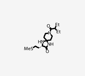 CCC(CC)C(=O)N1CCC2(CC1)NC(=O)[C@H](CCSC)N2